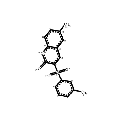 Cc1cccc(S(=O)(=O)c2cc3cc(C)ccc3oc2=O)c1